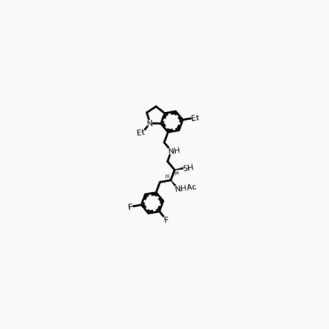 CCc1cc2c(c(CNC[C@@H](S)[C@H](Cc3cc(F)cc(F)c3)NC(C)=O)c1)N(CC)CC2